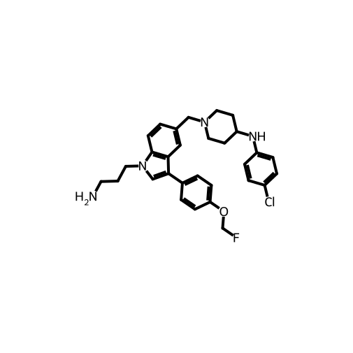 NCCCn1cc(-c2ccc(OCF)cc2)c2cc(CN3CCC(Nc4ccc(Cl)cc4)CC3)ccc21